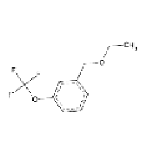 CCOCc1cccc(OC(F)(F)F)c1